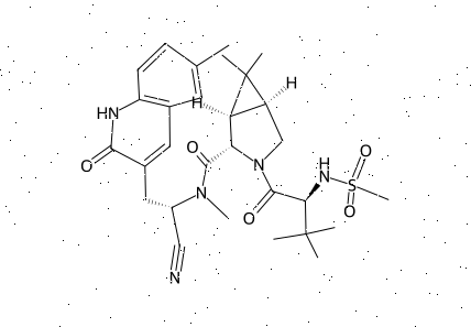 Cc1ccc2[nH]c(=O)c(C[C@@H](C#N)N(C)C(=O)[C@@H]3[C@@H]4[C@H](CN3C(=O)[C@@H](NS(C)(=O)=O)C(C)(C)C)C4(C)C)cc2c1